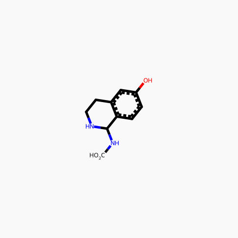 O=C(O)NC1NCCc2cc(O)ccc21